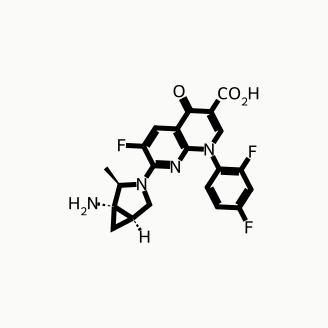 C[C@H]1N(c2nc3c(cc2F)c(=O)c(C(=O)O)cn3-c2ccc(F)cc2F)C[C@H]2C[C@]21N